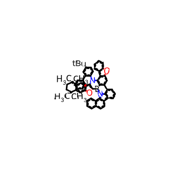 CC(C)(C)c1ccc(N2c3c(oc4cc5c(cc34)C(C)(C)CCC5(C)C)B3c4c(cc5oc6ccccc6c5c42)-c2cccc4c5ccc6ccccc6c5n3c24)c(-c2ccccc2)c1